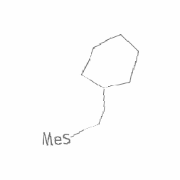 CSCC1CCCCC1